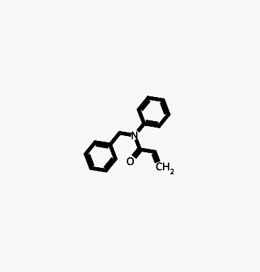 C=CC(=O)N(Cc1ccccc1)c1ccccc1